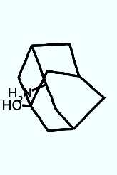 NC1CC2CC3CC1CC(O)(C2)C3